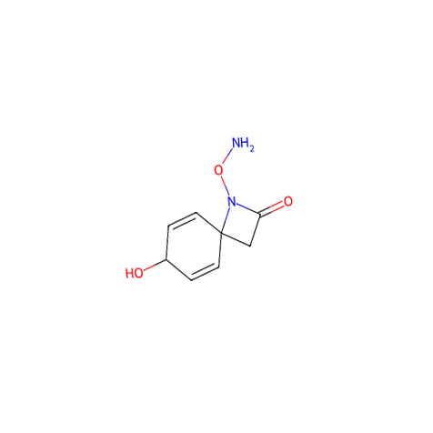 NON1C(=O)CC12C=CC(O)C=C2